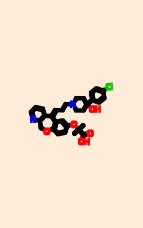 CC(C)(Oc1ccc2c(c1)C(=CCCN1CCC(O)(c3ccc(Cl)cc3)CC1)C1C=CC=NC1CO2)C(=O)O